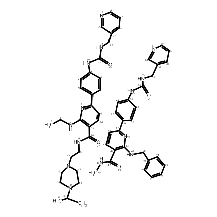 CCNc1nc(-c2ccc(NC(=O)NCc3cccnc3)cc2)ccc1C(=O)NCCN1CCN(C(C)C)CC1.CNC(=O)c1ccc(-c2ccc(NC(=O)NCc3cccnc3)cc2)nc1NCc1ccccc1